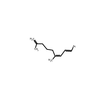 C=C(C)CCCC(C)=CC=CC(C)=O